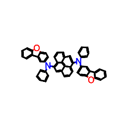 c1ccc(N(c2ccc3oc4ccccc4c3c2)c2cc3cccc4c(N(c5ccccc5)c5ccc6oc7ccccc7c6c5)cc5cccc2c5c34)cc1